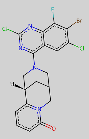 O=c1cccc2n1CC1C[C@H]2CN(c2nc(Cl)nc3c(F)c(Br)c(Cl)cc23)C1